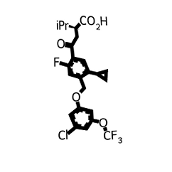 CC(C)[C@H](CC(=O)c1cc(C2CC2)c(COc2cc(Cl)cc(OC(F)(F)F)c2)cc1F)C(=O)O